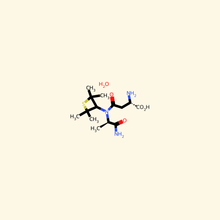 C[C@H](C(N)=O)N(C(=O)C[C@H](N)C(=O)O)C1C(C)(C)SC1(C)C.O